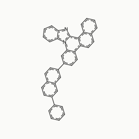 c1ccc(-c2ccc3ccc(-c4ccc5c6ccc7ccccc7c6c6nc7ccccc7n6c5c4)cc3c2)cc1